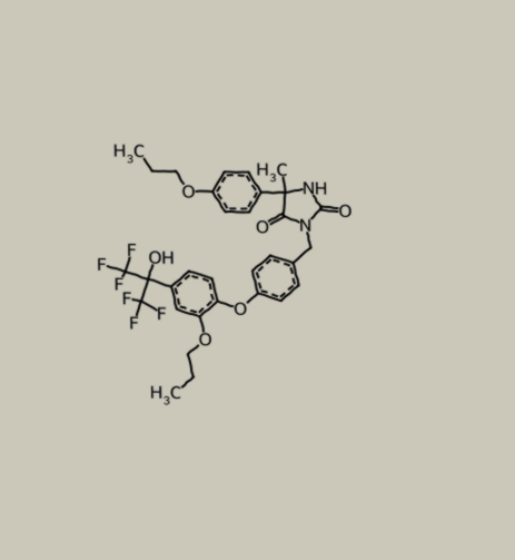 CCCOc1ccc(C2(C)NC(=O)N(Cc3ccc(Oc4ccc(C(O)(C(F)(F)F)C(F)(F)F)cc4OCCC)cc3)C2=O)cc1